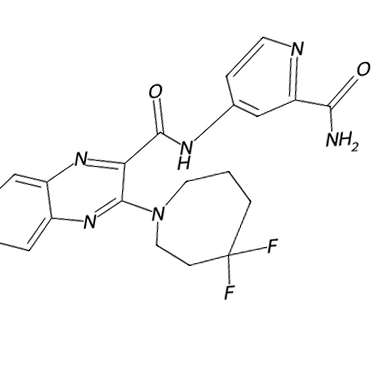 NC(=O)c1cc(NC(=O)c2nc3ccccc3nc2N2CCCC(F)(F)CC2)ccn1